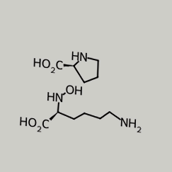 NCCCC[C@H](NO)C(=O)O.O=C(O)[C@@H]1CCCN1